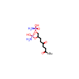 CCCCC(=O)CCC(=O)CCC(COP(N)(=O)O)OP(N)(=O)O